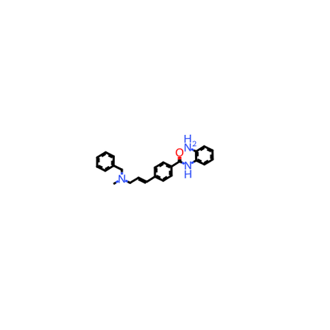 CN(CC=Cc1ccc(C(=O)Nc2ccccc2N)cc1)Cc1ccccc1